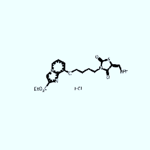 CCCC=C1SC(=O)N(CCCCOc2cccn3cc(C(=O)OCC)nc23)C1=O.Cl